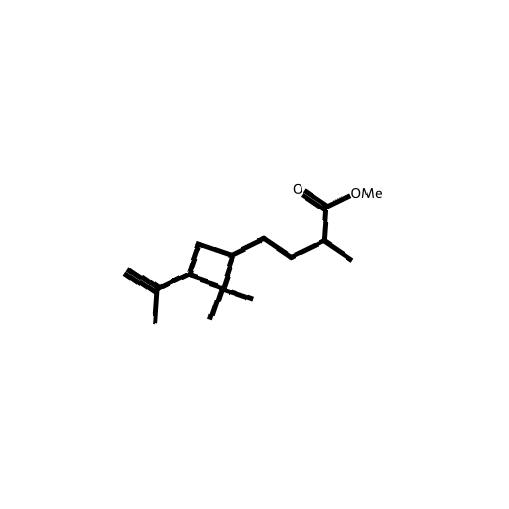 C=C(C)C1CC(CCC(C)C(=O)OC)C1(C)C